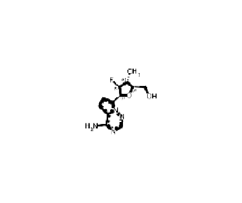 C[C@H]1[C@H](F)[C@H](c2ccc3c(N)ncnn23)O[C@@H]1CO